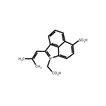 CC(C)=CC1=[N+](CC(=O)O)c2ccc(S(=O)(=O)O)c3cccc1c23